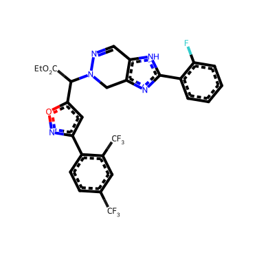 CCOC(=O)C(c1cc(-c2ccc(C(F)(F)F)cc2C(F)(F)F)no1)N1Cc2nc(-c3ccccc3F)[nH]c2C=N1